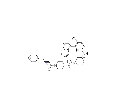 O=C(N[C@H]1CCC[C@@H](Nc2ncc(Cl)c(-c3cnn4ccccc34)n2)C1)C1CCN(C(=O)/C=C/CN2CCOCC2)CC1